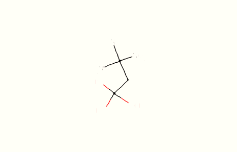 O=[N+]([O-])C(CC(O)(O)O)([N+](=O)[O-])[N+](=O)[O-]